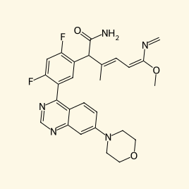 C=N/C(=C\C=C(/C)C(C(N)=O)c1cc(-c2ncnc3cc(N4CCOCC4)ccc23)c(F)cc1F)OC